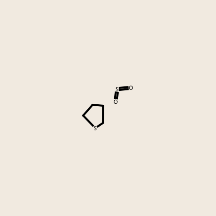 C1CCSC1.O=S=O